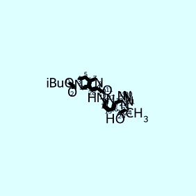 CC(C)COC(=O)N1CCc2cnc(C(=O)Nc3cccc(-c4nnnn4[C@H](C)CO)n3)cc2C1